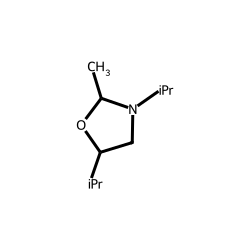 CC(C)C1CN(C(C)C)C(C)O1